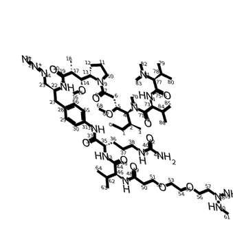 CC[C@H](C)[C@@H]([C@@H](CC(=O)N1CCC[C@H]1[C@H](OC)[C@@H](C)C(=O)N[C@H](CN=[N+]=[N-])Cc1ccc(NC(=O)[C@H](CCCNC(N)=O)NC(=O)[C@@H](NC(=O)CCOCCOCCN(N)NC)C(C)C)cc1)OC)N(C)C(=O)[C@@H](NC(=O)[C@H](C(C)C)N(C)C)C(C)C